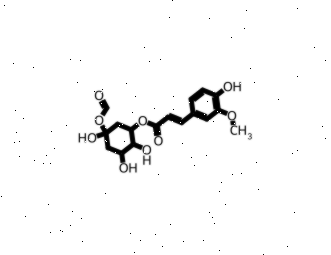 COc1cc(/C=C/C(=O)OC2CC(O)(OC=O)CC(O)C2O)ccc1O